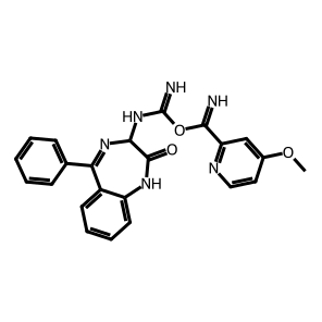 COc1ccnc(C(=N)OC(=N)NC2N=C(c3ccccc3)c3ccccc3NC2=O)c1